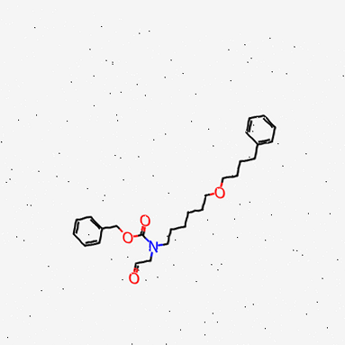 O=CCN(CCCCCCOCCCCc1ccccc1)C(=O)OCc1ccccc1